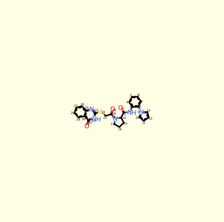 O=C(Nc1ccccc1-n1cccc1)C1CCCN1C(=O)CSc1nc2ccccc2c(=O)[nH]1